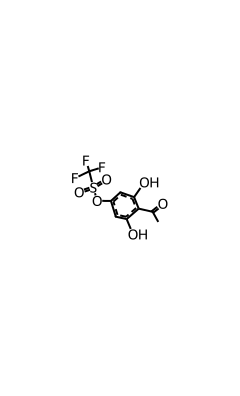 CC(=O)c1c(O)cc(OS(=O)(=O)C(F)(F)F)cc1O